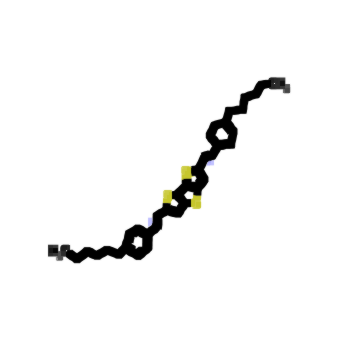 CCCCCCC1=CC=C(/C=C/c2cc3c(s2)C2SC(/C=C/c4ccc(CCCCCC)cc4)=CC2S3)CC1